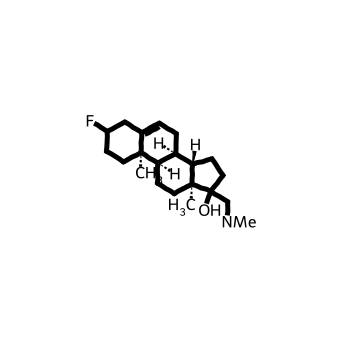 CNCC1(O)CC[C@H]2[C@@H]3CC=C4CC(F)CC[C@]4(C)[C@@H]3CC[C@@]21C